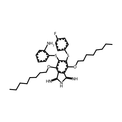 CCCCCCCCOc1c(Sc2ccc(F)cc2)c(Sc2ccccc2N)c(OCCCCCCCC)c2c1C(=N)NC2=N